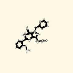 CCCOc1ccccc1-c1nc2c(NC=O)nn(Cc3ccccn3)c2c(=O)[nH]1